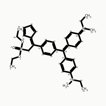 CCOP(=O)(CC(=C1C=CC=C1)c1ccc(C(=C2C=CC(=[N+](C)CC)C=C2)c2ccc(N(C)CC)cc2)cc1)OCC